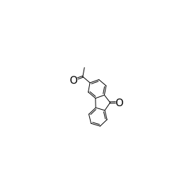 CC(=O)c1ccc2c(c1)-c1ccccc1C2=O